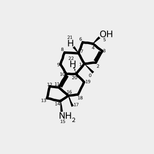 C[C@]12C=C[C@H](O)C[C@H]1CCC1=C3CC[C@H](N)[C@@]3(C)CC[C@@H]12